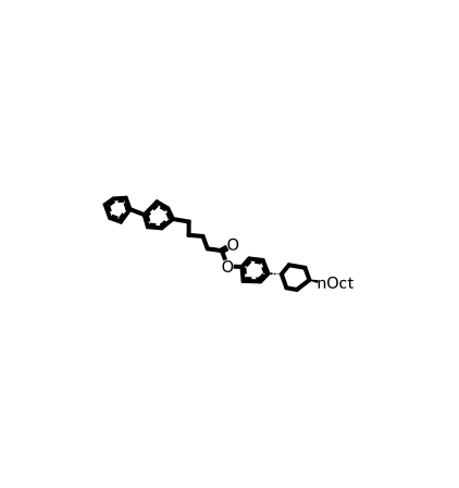 CCCCCCCC[C@H]1CC[C@H](c2ccc(OC(=O)CCCCc3ccc(-c4ccccc4)cc3)cc2)CC1